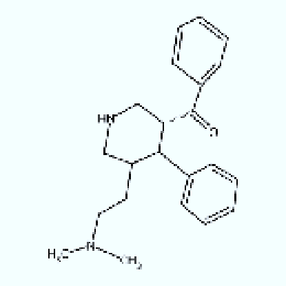 CN(C)CC[C]1CNC[C@H](C(=O)c2ccccc2)C1c1ccccc1